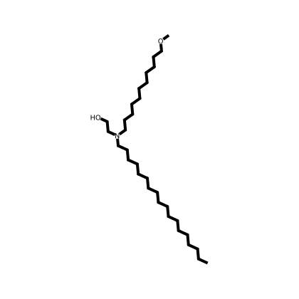 CCCCCCCCCCCCCCCCCCN(CCO)CCCCCCCCCCCOC